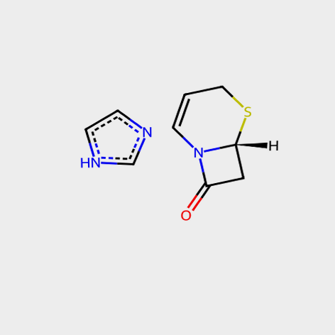 O=C1C[C@H]2SCC=CN12.c1c[nH]cn1